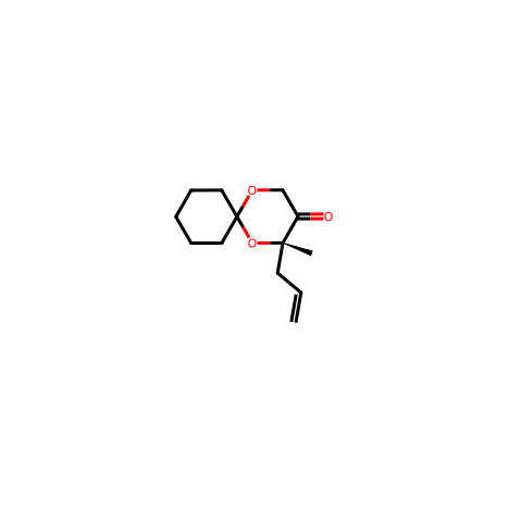 C=CC[C@]1(C)OC2(CCCCC2)OCC1=O